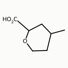 CC1CCOC(C(=O)O)C1